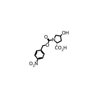 O=C(O)[C@H]1CC(O)CN1C(=O)OCc1ccc([N+](=O)[O-])cc1